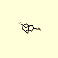 NC1CC23CC2CC2(O)CC1C3C2